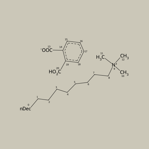 CCCCCCCCCCCCCCCCCC[N+](C)(C)C.O=C([O-])c1ccccc1C(=O)O